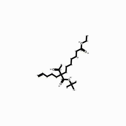 C=CCCCC(CCCCCCC(=O)OCC)(C(C)=O)C(=O)OC(C)(C)C